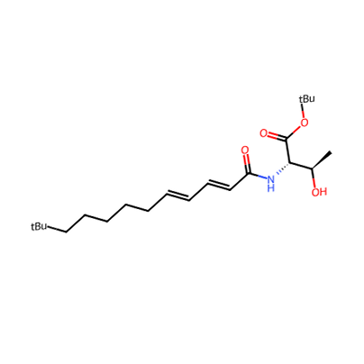 C[C@@H](O)[C@H](NC(=O)/C=C/C=C/CCCCCC(C)(C)C)C(=O)OC(C)(C)C